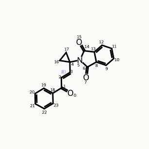 O=C(/C=C/C1(N2C(=O)c3ccccc3C2=O)CC1)c1ccccc1